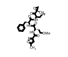 COCC[C@H](NC(=O)c1cc(C)on1)C(=O)N[C@@H](Cc1ccccc1)C(=O)NC(CC(C)C)C(=O)[C@@]1(C)CO1